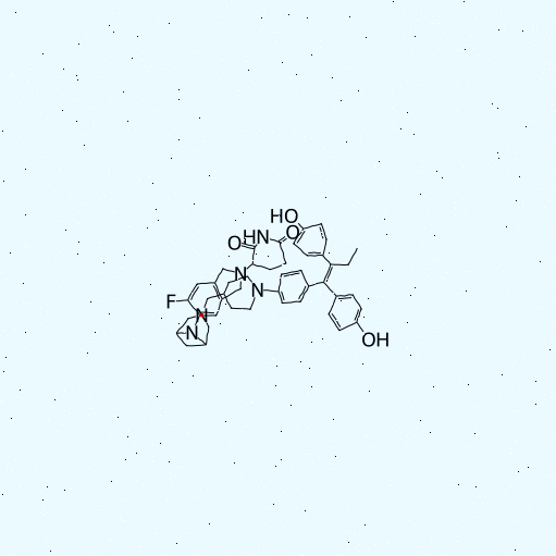 CCC(=C(c1ccc(O)cc1)c1ccc(N2CCC(CN3CC4CC(C3)N4c3cc4c(cc3F)CN(C3CCC(=O)NC3=O)C4)CC2)cc1)c1ccc(O)cc1